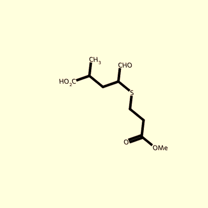 COC(=O)CCSC(C=O)CC(C)C(=O)O